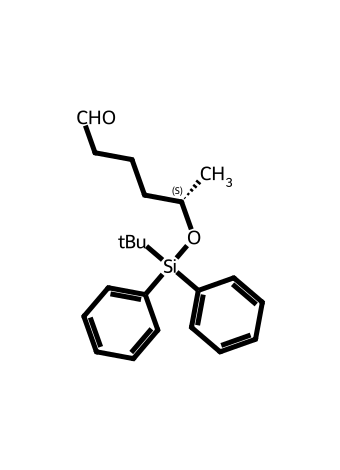 C[C@@H](CCCC=O)O[Si](c1ccccc1)(c1ccccc1)C(C)(C)C